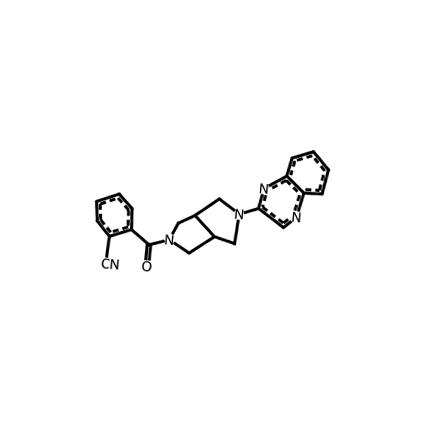 N#Cc1ccccc1C(=O)N1CC2CN(c3cnc4ccccc4n3)CC2C1